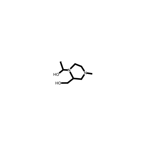 [CH2]C(O)N1CCN(C)CC1CO